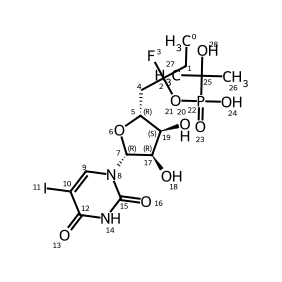 CCC(F)(C[C@H]1O[C@@H](n2cc(I)c(=O)[nH]c2=O)[C@H](O)[C@@H]1O)OP(=O)(O)C(C)(C)O